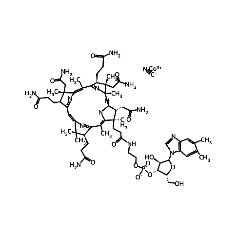 C/C1=C2/[N-][C@H]([C@H](CC(N)=O)[C@@]2(C)CCC(=O)NCCOP(=O)([O-])O[C@@H]2[C@@H](O)[C@@H](n3cnc4cc(C)c(C)cc43)O[C@@H]2CO)[C@]2(C)N=C(/C(C)=C3\N=C(C=C4N=C1[C@@H](CCC(N)=O)C4(C)C)[C@@H](CCC(N)=O)[C@]3(C)CC(N)=O)[C@@H](CCC(N)=O)[C@]2(C)CC(N)=O.[C-]#N.[Co+3]